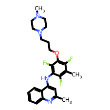 Cc1cc(Nc2c(F)c(C)c(F)c(OCCCN3CCN(C)CC3)c2F)c2ccccc2n1